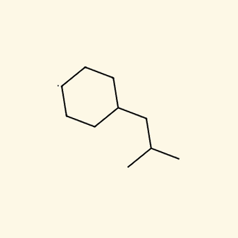 CC(C)CC1CC[CH]CC1